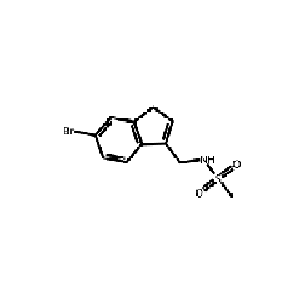 CS(=O)(=O)NCC1=CCc2cc(Br)ccc21